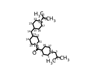 CC(C)CN1CCC(C(=O)N2CCC(CC3CCN(C(C)C)CC3)CC2)CC1